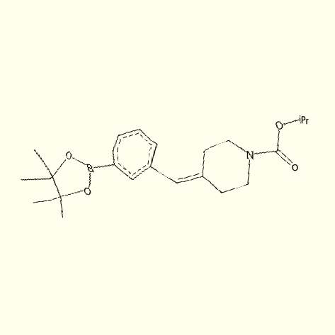 CC(C)OC(=O)N1CCC(=Cc2cccc(B3OC(C)(C)C(C)(C)O3)c2)CC1